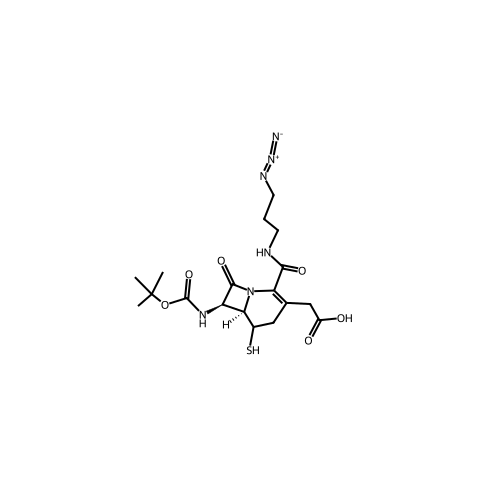 CC(C)(C)OC(=O)N[C@H]1C(=O)N2C(C(=O)NCCCN=[N+]=[N-])=C(CC(=O)O)CC(S)[C@@H]12